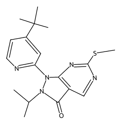 CSc1ncc2c(=O)n(C(C)C)n(-c3cc(C(C)(C)C)ccn3)c2n1